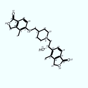 Cc1c(SCC2CCN(C[C@@H](O)c3ccc4c(c3C)COC4=O)CC2)ccc2c1COC2=O